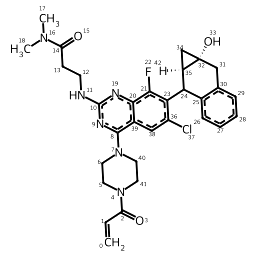 C=CC(=O)N1CCN(c2nc(NCCC(=O)N(C)C)nc3c(F)c(C4c5ccccc5C[C@]5(O)C[C@H]45)c(Cl)cc23)CC1